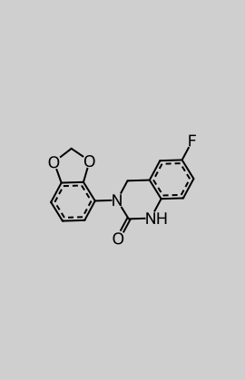 O=C1Nc2ccc(F)cc2CN1c1cccc2c1OCO2